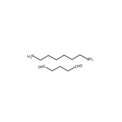 NCCCCCCN.O=CCCCC=O